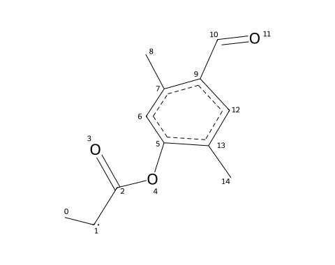 C[CH]C(=O)Oc1cc(C)c(C=O)cc1C